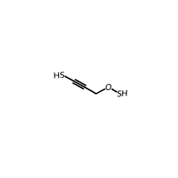 SC#CCOS